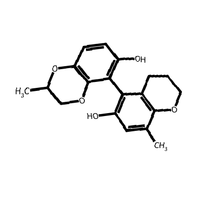 Cc1cc(O)c(-c2c(O)ccc3c2OCC(C)O3)c2c1OCCC2